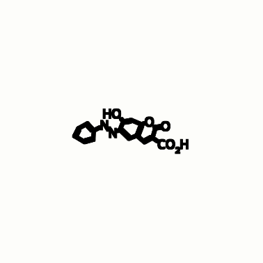 O=C(O)c1cc2cc(N=Nc3ccccc3)c(O)cc2oc1=O